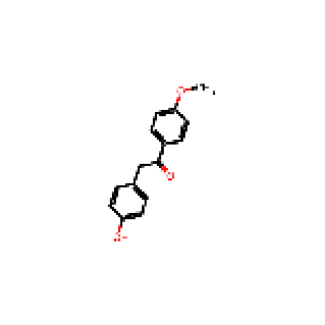 COc1ccc(C(=O)Cc2ccc(O)cc2)cc1